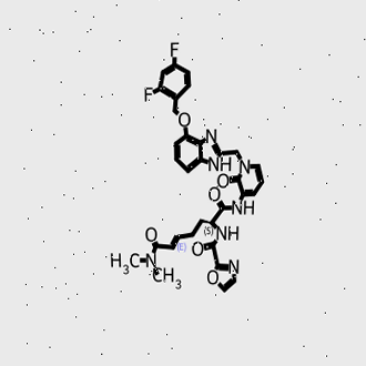 CN(C)C(=O)/C=C/CC[C@H](NC(=O)c1ncco1)C(=O)Nc1cccn(Cc2nc3c(OCc4ccc(F)cc4F)cccc3[nH]2)c1=O